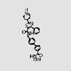 O=C(NO)c1ccc(-c2ccc(CNC(=O)c3sc(C4CCNCC4)nc3-c3ccccc3)cc2)s1